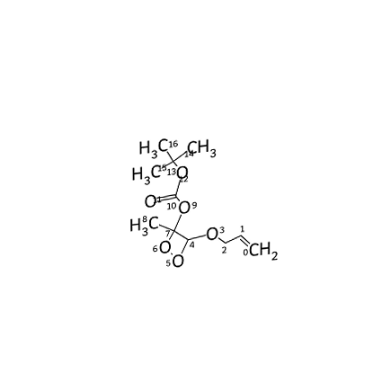 C=CCOC1OOC1(C)OC(=O)OC(C)(C)C